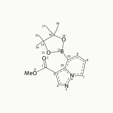 COC(=O)c1cnn2cccc(B3OC(C)(C)C(C)(C)O3)c12